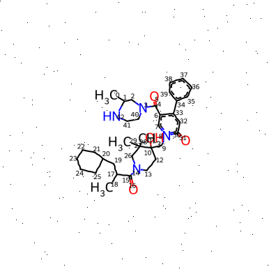 CC1CN(C(=O)c2cn(CC3(O)CCN(C(=O)C(C)CC4CCCCC4)CC3(C)C)c(=O)cc2-c2ccccc2)CCN1